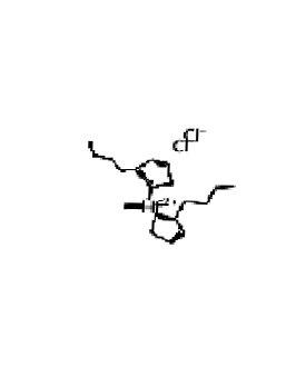 [CH2]=[Hf+2]([C]1=C(CCCC)C=CC1)[C]1=C(CCCC)C=CC1.[Cl-].[Cl-]